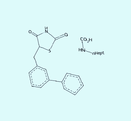 CCCCCCCNC(=O)O.O=C1NC(=O)C(Cc2cccc(-c3ccccc3)c2)S1